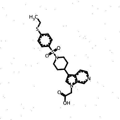 CCSc1ccc(S(=O)(=O)N2CCC(c3cn(CC(=O)O)c4cnccc34)CC2)cc1